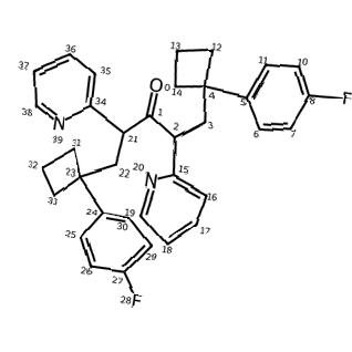 O=C(C(CC1(c2ccc(F)cc2)CCC1)c1ccccn1)C(CC1(c2ccc(F)cc2)CCC1)c1ccccn1